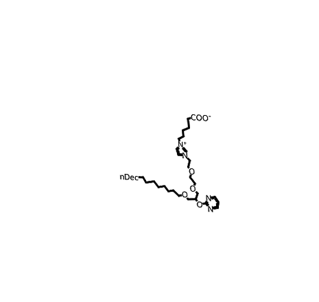 CCCCCCCCCCCCCCCCCCOCC(COCCOCCn1cc[n+](CCCCCC(=O)[O-])c1)Oc1ncccn1